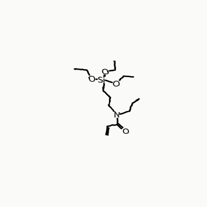 C=CC(=O)N(CCC)CCC[Si](OCC)(OCC)OCC